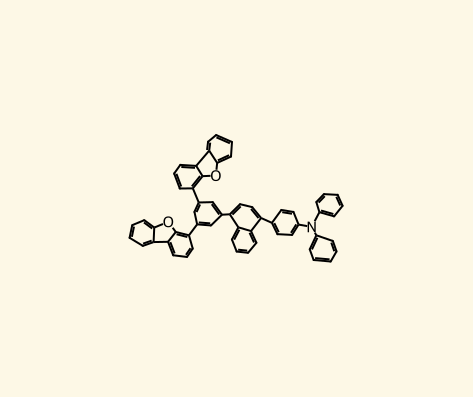 c1ccc(N(c2ccccc2)c2ccc(-c3ccc(-c4cc(-c5cccc6c5oc5ccccc56)cc(-c5cccc6c5oc5ccccc56)c4)c4ccccc34)cc2)cc1